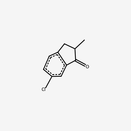 CC1Cc2ccc(Cl)cc2C1=O